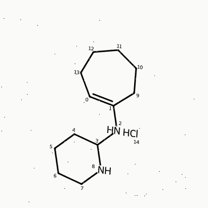 C1=C(NC2CCCCN2)CCCCC1.Cl